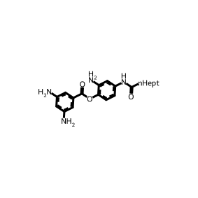 CCCCCCCC(=O)Nc1ccc(OC(=O)c2cc(N)cc(N)c2)c(N)c1